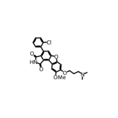 COc1cc2c(cc1OCCCN(C)C)oc1cc(-c3ccccc3Cl)c3c(c12)C(=O)NC3=O